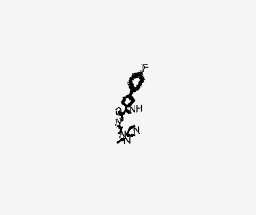 Cc1nc2cnccc2n1CCCN(C)CC(=O)c1c[nH]c2cc(-c3ccc(F)cc3)ccc12